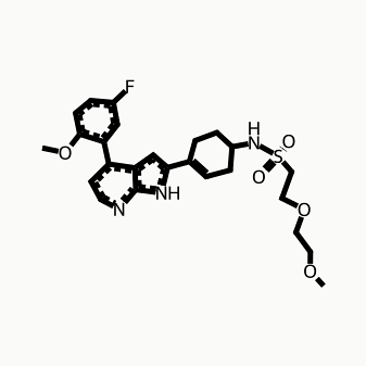 COCCOCCS(=O)(=O)NC1CC=C(c2cc3c(-c4cc(F)ccc4OC)ccnc3[nH]2)CC1